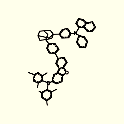 Cc1cc(C)c(B(c2ccc3oc4ccc(-c5ccc(C67CC8CC(C6)CC(c6ccc(N(c9ccccc9)c9cccc%10ccccc9%10)cc6)(C8)C7)cc5)cc4c3c2)c2c(C)cc(C)cc2C)c(C)c1